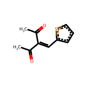 CC(=O)C(=Cc1cccs1)C(C)=O